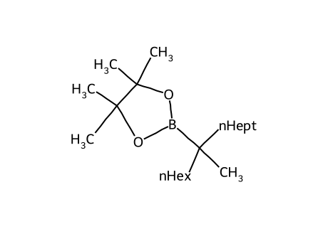 CCCCCCCC(C)(CCCCCC)B1OC(C)(C)C(C)(C)O1